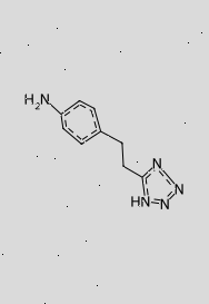 Nc1ccc(CCc2nnn[nH]2)cc1